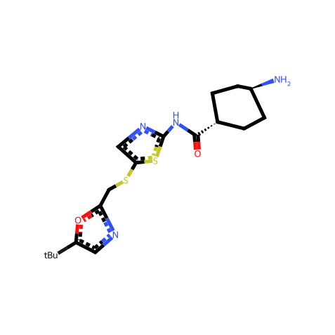 CC(C)(C)c1cnc(CSc2cnc(NC(=O)[C@H]3CC[C@H](N)CC3)s2)o1